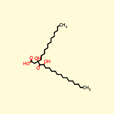 CCCCCCCCCCCCCCC(O)C(=O)C(O)(CCCCCCCCCCCCC)CC(=O)O